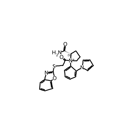 NC(=O)[C@@H]1CCC[N+]1(C(=O)CSc1nc2ccccc2o1)c1ccccc1-n1cccc1